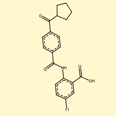 O=C(Nc1ccc(Cl)cc1C(=O)O)c1ccc(C(=O)C2CCCC2)cc1